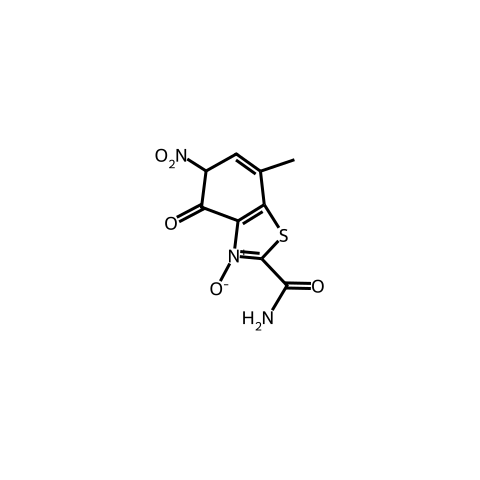 CC1=CC([N+](=O)[O-])C(=O)c2c1sc(C(N)=O)[n+]2[O-]